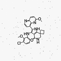 COc1ccc2nccc(-c3[nH]c4c(c3Nc3cccc(Cl)c3OC)C(=O)NCC43CCC3)c2n1